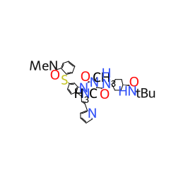 CNC(=O)c1ccccc1Sc1ccc2c(/C=C/c3ccccn3)nn(C(=O)N(C)[C@@H](C)C(=O)N[C@H]3CC[C@H](C(=O)NC(C)(C)C)CC3)c2c1